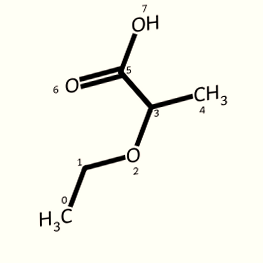 CCO[C](C)C(=O)O